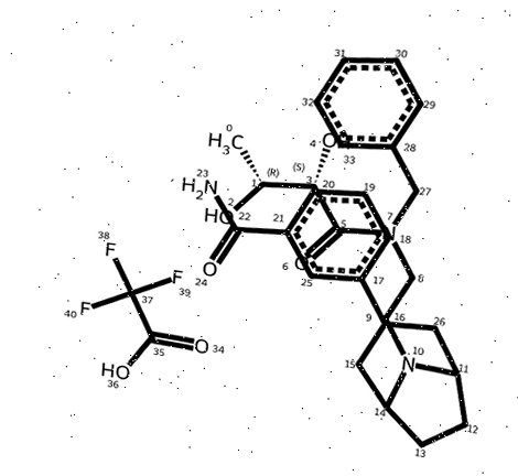 C[C@@H](O)[C@H](O)C(=O)N(CCN1C2CCC1CC(c1cccc(C(N)=O)c1)C2)Cc1ccccc1.O=C(O)C(F)(F)F